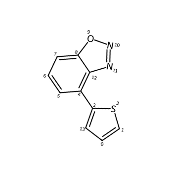 c1csc(-c2cccc3onnc23)c1